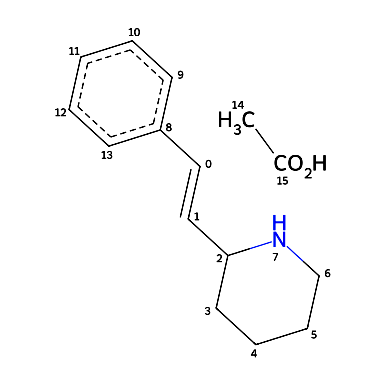 C(=CC1CCCCN1)c1ccccc1.CC(=O)O